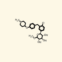 COC1O[C@@H](c2ccc(Cl)c(Cc3ccc(OC4CCN(C)CC4)cc3)c2)[C@H](O)[C@@H](O)[C@@H]1O